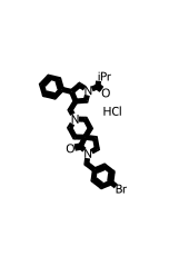 CC(C)C(=O)N1CC(CN2CCC3(CC2)CCN(Cc2ccc(Br)cc2)C3=O)C(c2ccccc2)C1.Cl